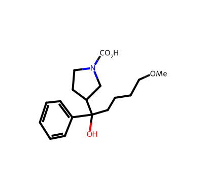 COCCCCC(O)(c1ccccc1)C1CCN(C(=O)O)C1